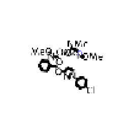 CNC(=O)/C=N/OC.COC(=O)N(OC)c1ccccc1COc1ccn(-c2ccc(Cl)cc2)n1